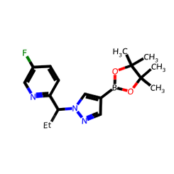 CCC(c1ccc(F)cn1)n1cc(B2OC(C)(C)C(C)(C)O2)cn1